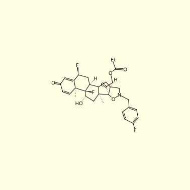 CCC(=O)OCC(=O)[C@@]12ON(Cc3ccc(F)cc3)C[C@@H]1CC1[C@@H]3C[C@H](F)C4=CC(=O)C=C[C@]4(C)[C@@]3(F)[C@@H](O)C[C@@]12C